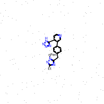 CCCCCn1nc(CC)nc1Cc1ccc(-c2cnccc2-c2nnn[nH]2)cc1